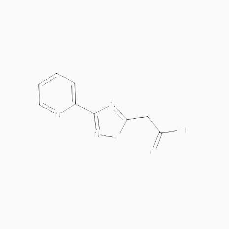 O=C(O)Cc1nc(-c2ccccn2)no1